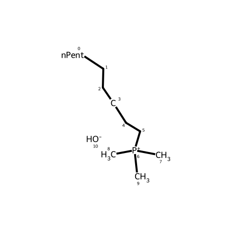 CCCCCCCCCC[P+](C)(C)C.[OH-]